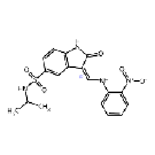 CC(C)NS(=O)(=O)c1ccc2c(c1)/C(=C/Nc1ccccc1[N+](=O)[O-])C(=O)N2